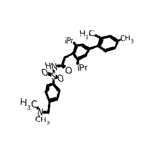 Cc1ccc(-c2cc(C(C)C)c(CC(=O)NS(=O)(=O)c3ccc(CN(C)C)cc3)c(C(C)C)c2)c(C)c1